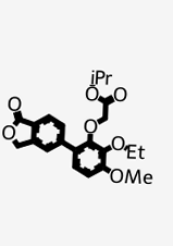 CCOc1c(OC)ccc(-c2ccc3c(c2)COC3=O)c1OCC(=O)OC(C)C